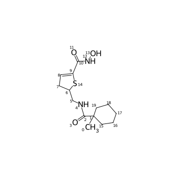 CC1(C(=O)NCC2CC=C(C(=O)NO)S2)CCCCC1